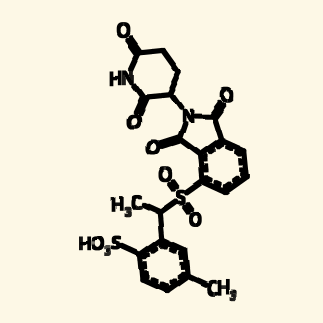 Cc1ccc(S(=O)(=O)O)c(C(C)S(=O)(=O)c2cccc3c2C(=O)N(C2CCC(=O)NC2=O)C3=O)c1